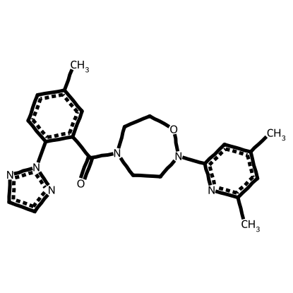 Cc1cc(C)nc(N2CCN(C(=O)c3cc(C)ccc3-n3nccn3)CCO2)c1